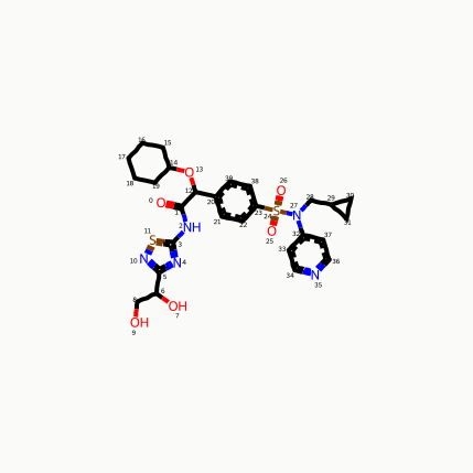 O=C(Nc1nc(C(O)CO)ns1)C(OC1CCCCC1)c1ccc(S(=O)(=O)N(CC2CC2)c2ccncc2)cc1